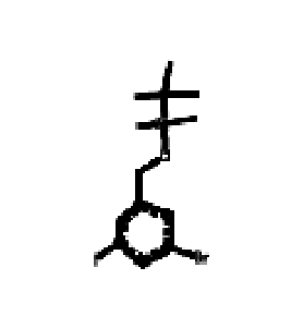 CC(C)(C)[Si](C)(C)OCc1cc(Br)cc(I)c1